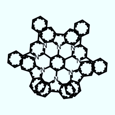 c1ccc(-c2cc(-c3ccccc3)nc(-c3c(-n4c5ccccc5c5ccccc54)c(-c4nc(-c5ccccc5)cc(-c5ccccc5)n4)c(-n4c5ccccc5c5ccccc54)c(-n4c5ccccc5c5ccccc54)c3-n3c4ccccc4c4ccccc43)n2)cc1